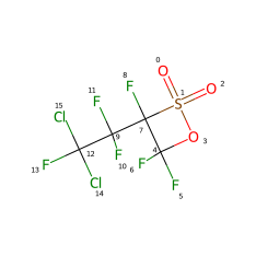 O=S1(=O)OC(F)(F)C1(F)C(F)(F)C(F)(Cl)Cl